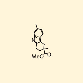 COC(=O)C1(C)CCc2nn3cc(C)ccc3c2C1